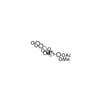 COc1cc(CCC(=O)O[C@H]2Cc3cc4ccc(=O)oc4cc3OC2(C)C)ccc1OC(C)=O